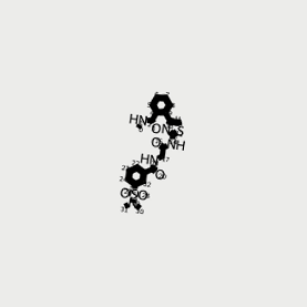 CNC(=O)c1ccccc1-c1csc(NC(=O)CNC(=O)c2cccc(S(=O)(=O)N(C)C)c2)n1